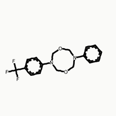 FC(F)(F)c1ccc(N2COCN(c3ccccc3)COC2)cc1